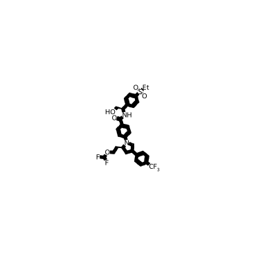 CCS(=O)(=O)c1ccc([C@H](CO)NC(=O)c2ccc(N3CC(c4ccc(C(F)(F)F)cc4)C[C@H]3CCOC(F)F)cc2)cc1